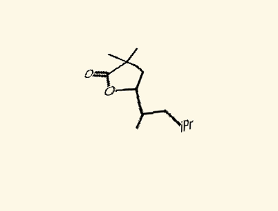 CC(C)CC(C)C1CC(C)(C)C(=O)O1